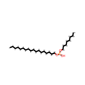 CCCCCCCCCCCCCCCCCCOP(O)OCCCCCCCC